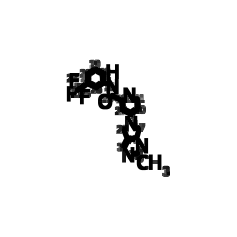 Cc1ncc2c(n1)CN(c1ccnc(C(=O)Nc3cccc(C(F)(F)F)c3)c1)C2